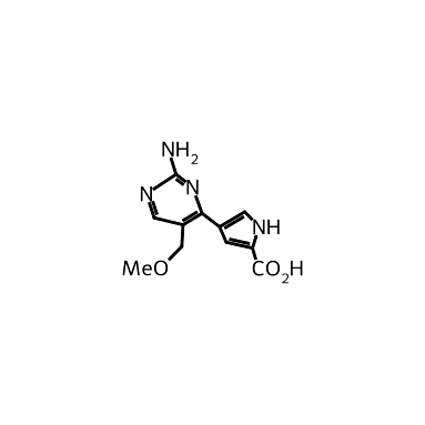 COCc1cnc(N)nc1-c1c[nH]c(C(=O)O)c1